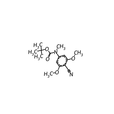 COc1cc(N(C)C(=O)OC(C)(C)C)cc(OC)c1C#N